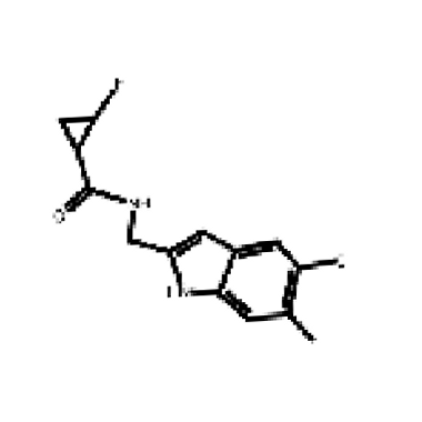 Cc1cc2[nH]c(CNC(=O)C3CC3F)cc2cc1Cl